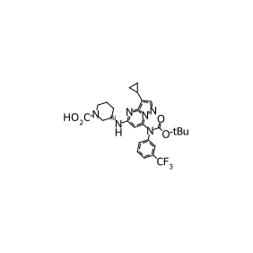 CC(C)(C)OC(=O)N(c1cccc(C(F)(F)F)c1)c1cc(N[C@H]2CCCN(C(=O)O)C2)nc2c(C3CC3)cnn12